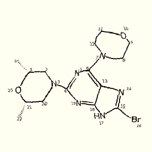 C[C@@H]1CN(c2nc(N3CCOCC3)c3nc(Br)[nH]c3n2)C[C@H](C)O1